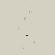 COC(=O)[C@@H](N)Cc1cn(C)cn1.Cl